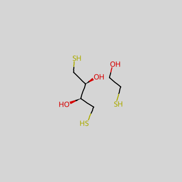 OCCS.O[C@H](CS)[C@H](O)CS